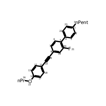 CCCCCc1ccc(-c2ccc(C#Cc3ccc(OCCC)cc3)cc2F)cc1